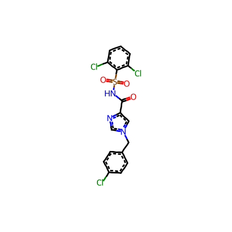 O=C(NS(=O)(=O)c1c(Cl)cccc1Cl)c1cn(Cc2ccc(Cl)cc2)cn1